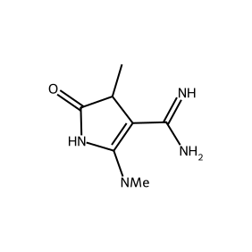 CNC1=C(C(=N)N)C(C)C(=O)N1